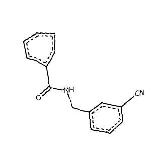 N#Cc1cccc(CNC(=O)c2ccccc2)c1